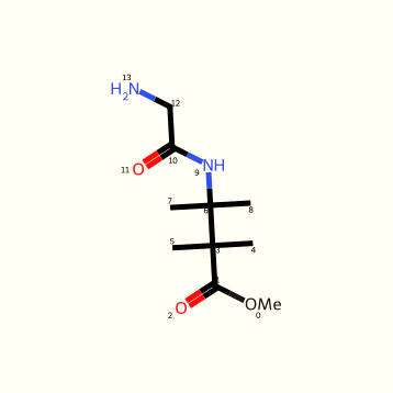 COC(=O)C(C)(C)C(C)(C)NC(=O)CN